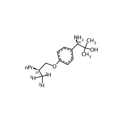 [2H]C([2H])([2H])[C@@H](CCC)COc1ccc([C@@H](N)C(C)(C)O)cc1